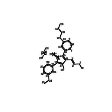 CCC=CC1=C(c2cccc(CCCC)c2)[N+](=[N-])C(c2cccc(CC)c2)=C1C.[CH3][Pd][CH3]